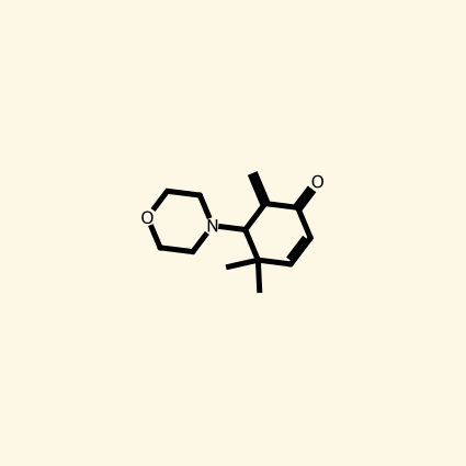 C=C1C(=O)C=CC(C)(C)C1N1CCOCC1